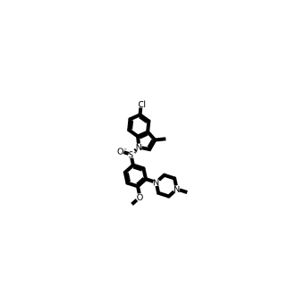 COc1ccc([S+]([O-])n2cc(C)c3cc(Cl)ccc32)cc1N1CCN(C)CC1